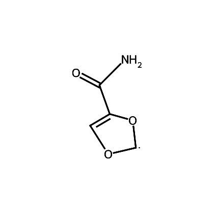 NC(=O)C1=CO[CH]O1